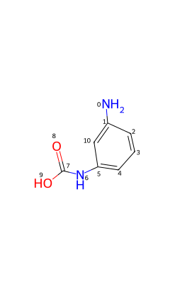 Nc1cccc(NC(=O)O)c1